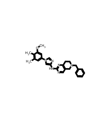 COc1cc(-n2cnc(Nc3ncc4c(n3)CCN(Cc3ccccc3)C4)c2)cc(C)c1C